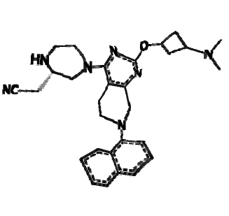 CN(C)C1CC(Oc2nc3c(c(N4CCN[C@@H](CC#N)C4)n2)CCN(c2cccc4ccccc24)C3)C1